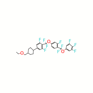 CCOCC1CCC(c2cc(F)c(C(F)(F)Oc3ccc(C(F)(F)Oc4cc(F)c(F)c(F)c4)c(F)c3)c(F)c2)CC1